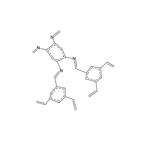 C=Cc1cc(C=C)cc(C=Nc2cc(N=C)c(N=C)cc2N=Cc2cc(C=C)cc(C=C)c2)c1